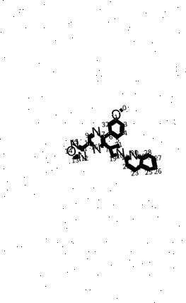 COc1cccc(-c2ncc(-c3ncon3)nc2C2CN(c3ccc4ccccc4n3)C2)c1